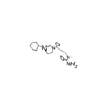 C[C@@H](C[CH]C(=O)N1CCN(C2CCCCC2)CC1)C(N)=O